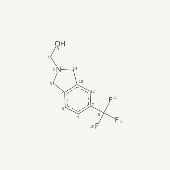 OCN1Cc2ccc(C(F)(F)F)cc2C1